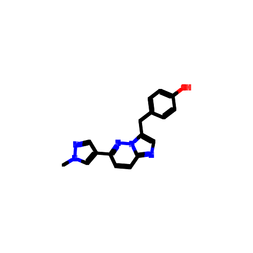 Cn1cc(-c2ccc3ncc(Cc4ccc(O)cc4)n3n2)cn1